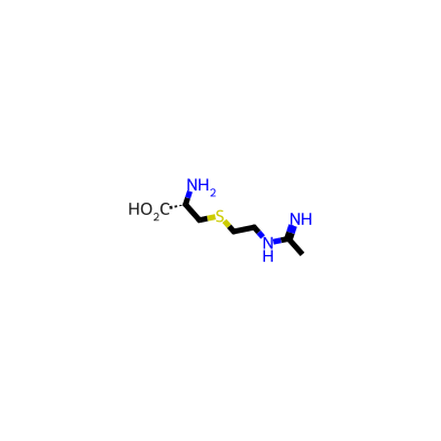 CC(=N)NCCSC[C@@H](N)C(=O)O